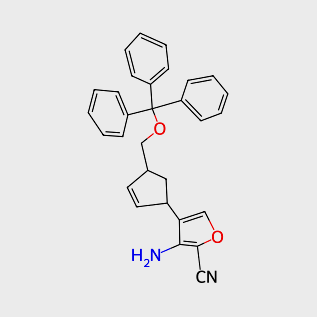 N#Cc1occ(C2C=CC(COC(c3ccccc3)(c3ccccc3)c3ccccc3)C2)c1N